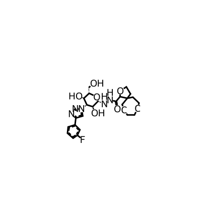 O=C(NN[C@H]1O[C@@H](CO)[C@@H](O)[C@@H](n2cc(-c3cccc(F)c3)nn2)[C@@H]1O)C1OCCC12CCCCCCC2